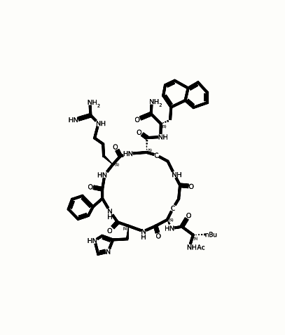 CCCC[C@H](NC(C)=O)C(=O)N[C@H]1CCC(=O)NCC[C@@H](C(=O)N[C@@H](Cc2cccc3ccccc23)C(N)=O)NC(=O)[C@H](CCCNC(=N)N)NC(=O)C(c2ccccc2)NC(=O)[C@H](Cc2c[nH]cn2)NC1=O